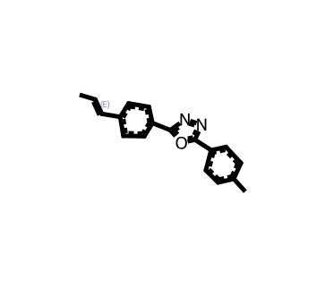 C/C=C/c1ccc(-c2nnc(-c3ccc(C)cc3)o2)cc1